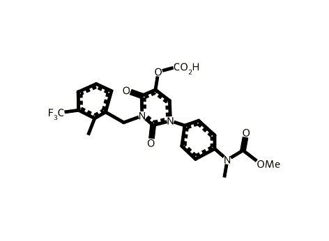 COC(=O)N(C)c1ccc(-n2cc(OC(=O)O)c(=O)n(Cc3cccc(C(F)(F)F)c3C)c2=O)cc1